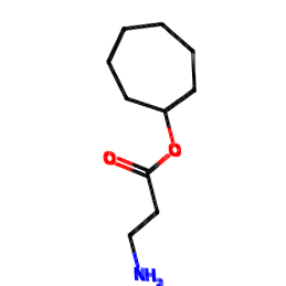 NCCC(=O)OC1CCCCCC1